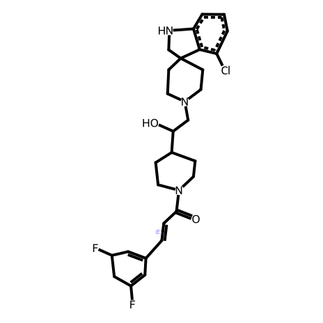 O=C(/C=C/C1=CC(F)CC(F)=C1)N1CCC(C(O)CN2CCC3(CC2)CNc2cccc(Cl)c23)CC1